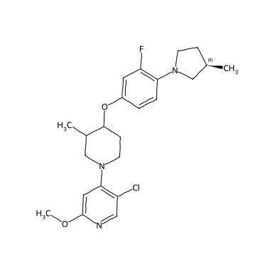 COc1cc(N2CCC(Oc3ccc(N4CC[C@@H](C)C4)c(F)c3)C(C)C2)c(Cl)cn1